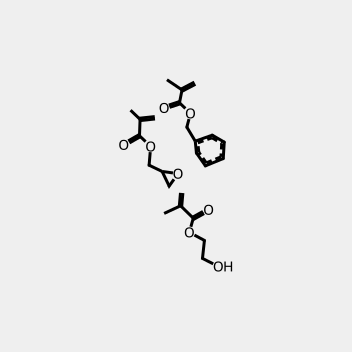 C=C(C)C(=O)OCC1CO1.C=C(C)C(=O)OCCO.C=C(C)C(=O)OCc1ccccc1